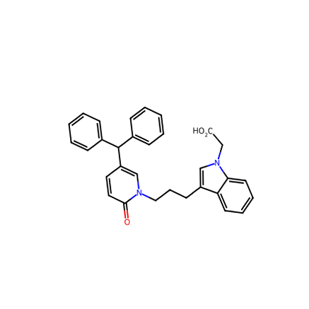 O=C(O)Cn1cc(CCCn2cc(C(c3ccccc3)c3ccccc3)ccc2=O)c2ccccc21